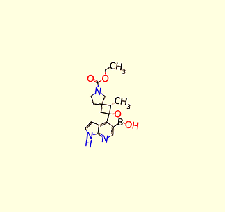 CCOC(=O)N1CCC2(C1)CC1(OB(O)c3cnc4[nH]ccc4c31)[C@H]2C